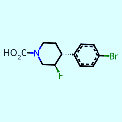 O=C(O)N1CC[C@H](c2ccc(Br)cc2)[C@@H](F)C1